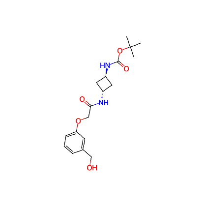 CC(C)(C)OC(=O)N[C@H]1C[C@H](NC(=O)COc2cccc(CO)c2)C1